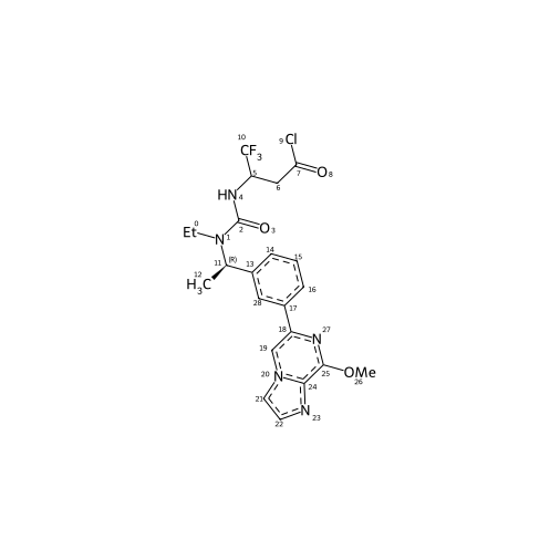 CCN(C(=O)NC(CC(=O)Cl)C(F)(F)F)[C@H](C)c1cccc(-c2cn3ccnc3c(OC)n2)c1